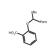 CCCCC(Oc1ccccc1C(=O)O)C(C)CCC